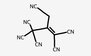 N#CCC(=C(C#N)C#N)C(C#N)(C#N)C#N